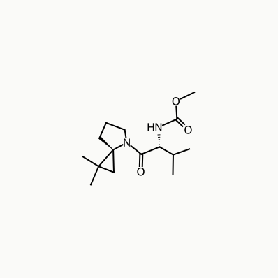 COC(=O)N[C@@H](C(=O)N1CCC[C@]12CC2(C)C)C(C)C